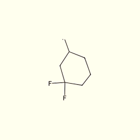 [CH2]C1CCCC(F)(F)C1